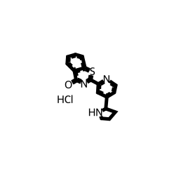 Cl.O=c1nc(-c2cc(C3CCCN3)ccn2)sc2ccccc12